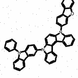 c1ccc(-n2c3ccccc3c3cc(-n4c5ccccc5c5c6c7ccccc7n(-c7ccc8c(c7)oc7ccccc78)c6ccc54)ccc32)cc1